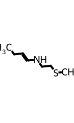 CC/C=C/NCCSC